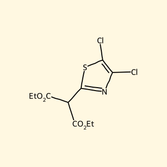 CCOC(=O)C(C(=O)OCC)c1nc(Cl)c(Cl)s1